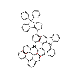 c1ccc(-c2cccc3cccc(-c4ccccc4N(c4ccc(-c5cccc6c5-c5ccccc5C6(c5ccccc5)c5ccccc5)cc4)c4ccccc4-c4cccc5c6ccccc6n(-c6ccccc6)c45)c23)cc1